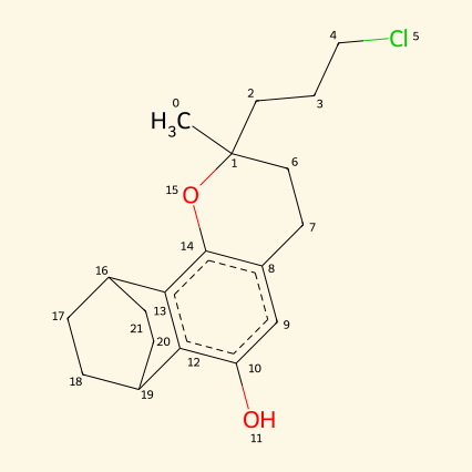 CC1(CCCCl)CCc2cc(O)c3c(c2O1)C1CCC3CC1